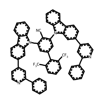 N#Cc1c(-n2c3ccccc3c3ccc(-c4ccnc(-c5ccccc5)c4)cc32)cc(-c2c(C(F)(F)F)cccc2C(F)(F)F)cc1-n1c2ccccc2c2ccc(-c3ccnc(-c4ccccc4)c3)cc21